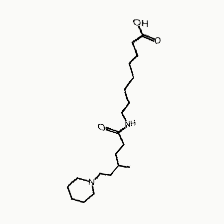 CC(CCC(=O)NCCCCCCCC(=O)O)CCN1CCCCC1